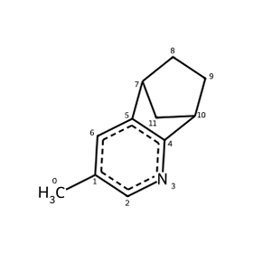 Cc1cnc2c(c1)C1CCC2C1